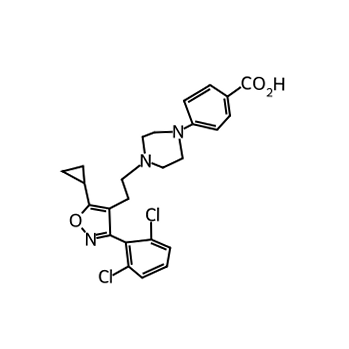 O=C(O)c1ccc(N2CCN(CCc3c(-c4c(Cl)cccc4Cl)noc3C3CC3)CC2)cc1